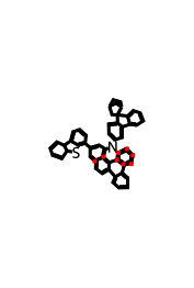 C1=CC2Sc3c(-c4cccc(N(c5ccc6c(c5)-c5ccccc5C65CC6CCC5C6)c5ccccc5-c5ccccc5-c5ccccc5-c5ccccc5)c4)cccc3C2C=C1